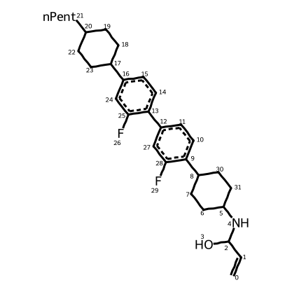 C=CC(O)NC1CCC(c2ccc(-c3ccc(C4CCC(CCCCC)CC4)cc3F)cc2F)CC1